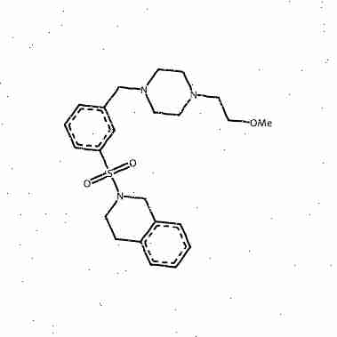 COCCN1CCN(Cc2cccc(S(=O)(=O)N3CCc4ccccc4C3)c2)CC1